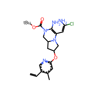 C=Cc1cnc(OC2CC3CN(C(=O)OC(C)(C)C)C(N)=C(/C=C(\N)Cl)N3C2)cc1C